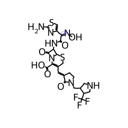 Nc1nc(/C(=N/O)C(=O)NC2C(=O)N3C(C(=O)O)=C(C=C4CCN(CC5CNCC5C(F)(F)F)C4=O)CSC23)cs1